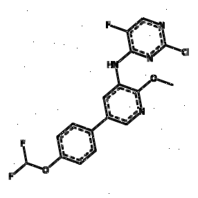 COc1ncc(-c2ccc(OC(F)F)cc2)cc1Nc1nc(Cl)ncc1F